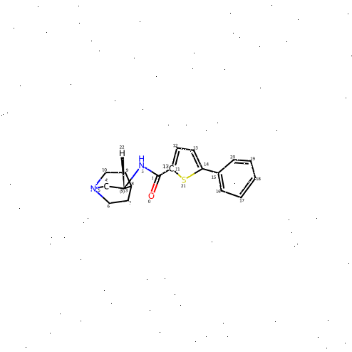 O=C(N[C@H]1CN2CCC1CC2)[13c]1ccc(-c2ccccc2)s1